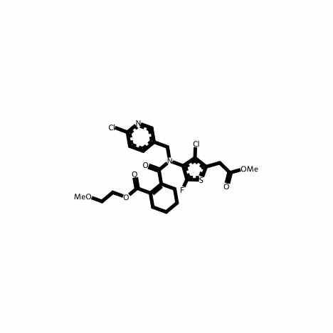 COCCOC(=O)C1=C(C(=O)N(Cc2ccc(Cl)nc2)c2c(F)sc(CC(=O)OC)c2Cl)CCCC1